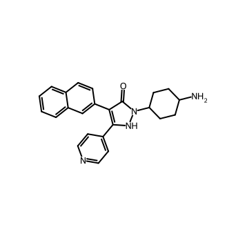 NC1CCC(n2[nH]c(-c3ccncc3)c(-c3ccc4ccccc4c3)c2=O)CC1